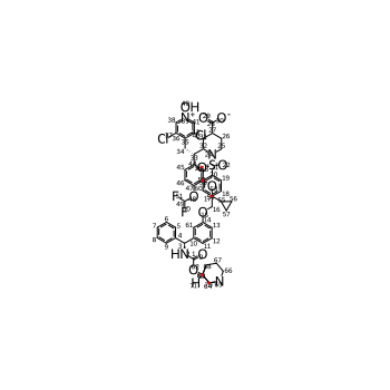 O=C(N[C@@H](c1ccccc1)c1cccc(OCc2ccc(S(=O)(=O)N3CCC(C(=O)[O-])CC3[C@@H](Cc3c(Cl)c[n+](O)cc3Cl)c3ccc(OC(F)F)c(OCC4CC4)c3)cc2)c1)O[C@H]1CN2CCC1CC2